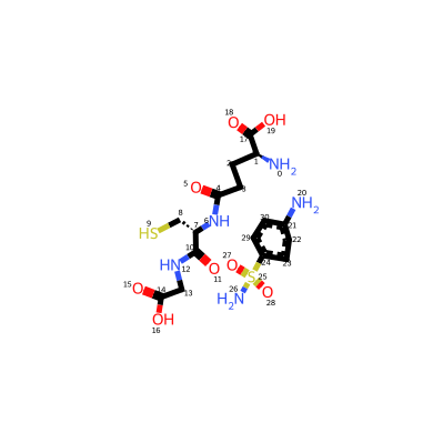 N[C@@H](CCC(=O)N[C@@H](CS)C(=O)NCC(=O)O)C(=O)O.Nc1ccc(S(N)(=O)=O)cc1